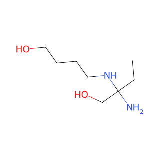 CCC(N)(CO)NCCCCO